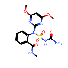 CNC(=O)c1ccccc1N(c1nc(OC)cc(OC)n1)S(=O)(=O)NC(N)=O